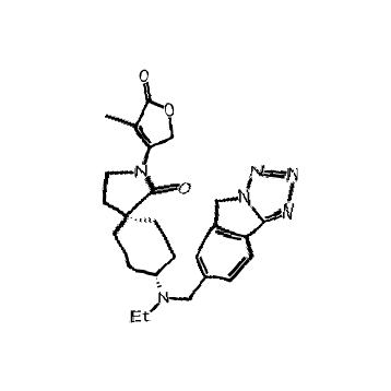 CCN(Cc1ccc2c(c1)Cn1nnnc1-2)[C@H]1CC[C@@]2(CCN(C3=C(C)C(=O)OC3)C2=O)CC1